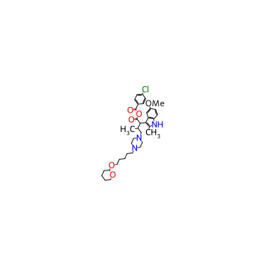 COc1ccc2[nH]c(C)c(C(C(=O)OC(=O)c3ccc(Cl)cc3)C(C)CN3CCN(CCCCCOC4CCCCO4)CC3)c2c1